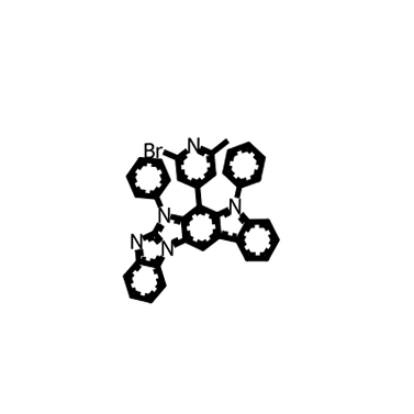 Cc1cc(-c2c3c(cc4c2n(-c2ccccc2)c2nc5ccccc5n42)c2ccccc2n3-c2ccccc2)cc(Br)n1